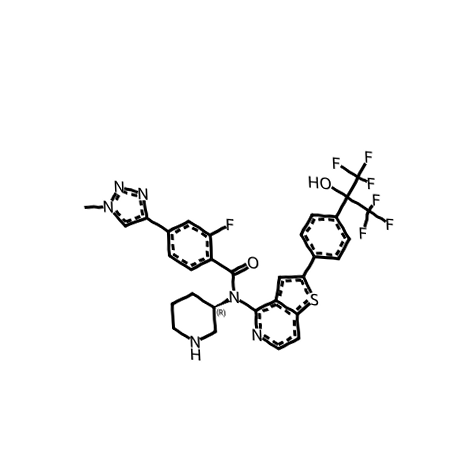 Cn1cc(-c2ccc(C(=O)N(c3nccc4sc(-c5ccc(C(O)(C(F)(F)F)C(F)(F)F)cc5)cc34)[C@@H]3CCCNC3)c(F)c2)nn1